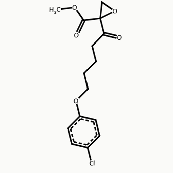 COC(=O)C1(C(=O)CCCCOc2ccc(Cl)cc2)CO1